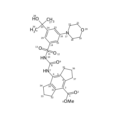 COC(=O)c1c2c(c(NC(=O)NS(=O)(=O)c3cc(N4CCOCC4)cc(C(C)(C)O)c3)c3c1CCC3)CCC2